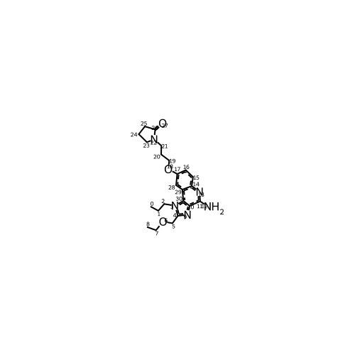 CCCn1c(COCC)nc2c(N)nc3ccc(OCCCN4CCCC4=O)cc3c21